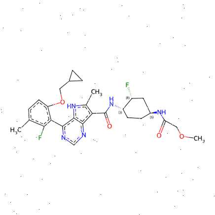 COCC(=O)N[C@H]1CC[C@H](NC(=O)c2c(C)[nH]c3c(-c4c(OCC5CC5)ccc(C)c4F)ncnc23)[C@H](F)C1